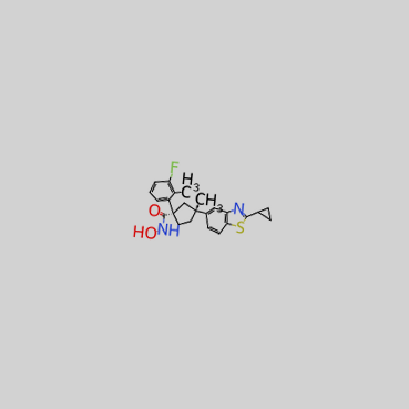 Cc1c(F)cccc1[C@]1(C(=O)NO)CC[C@@](C)(c2ccc3sc(C4CC4)nc3c2)C1